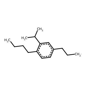 [CH2]CCc1ccc(CCCC)c(C(C)C)c1